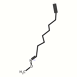 [C]#CCCCCCC/C=N/OC